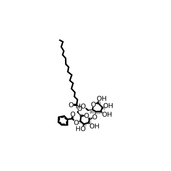 CCCCCCCCCCCCCCCCC(=O)OC[C@H]1O[C@@H](O[C@H]2[C@H](O)[C@@H](O)[C@H](O)O[C@@H]2CO)[C@H](O)[C@@H](O)[C@@H]1OC(=O)c1ccccc1